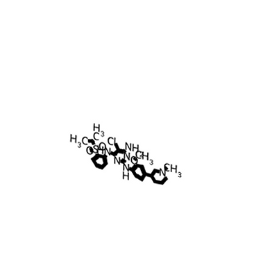 COc1cc(C2CCCN(C)C2)ccc1Nc1nc(N)c(Cl)c(Nc2ccccc2S(=O)(=O)C(C)C)n1